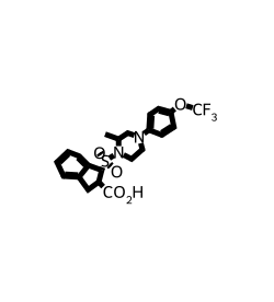 CC1CN(c2ccc(OC(F)(F)F)cc2)CCN1S(=O)(=O)C1c2ccccc2CC1C(=O)O